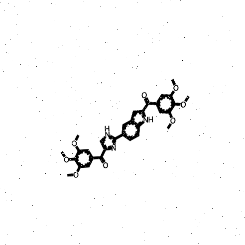 COc1cc(C(=O)c2c[nH]c(-c3ccc4[nH]c(C(=O)c5cc(OC)c(OC)c(OC)c5)cc4c3)n2)cc(OC)c1OC